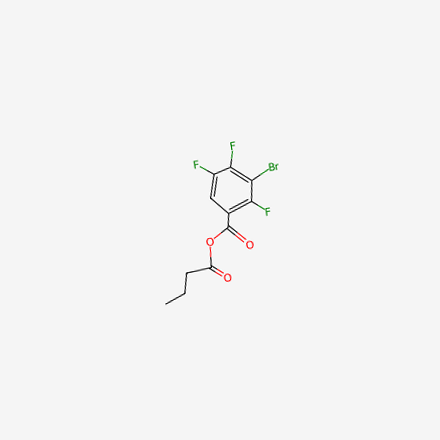 CCCC(=O)OC(=O)c1cc(F)c(F)c(Br)c1F